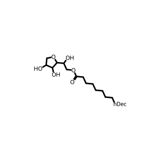 CCCCCCCCCCCCCCCCCC(=O)OCC(O)C1OCC(O)C1O